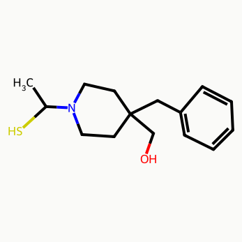 CC(S)N1CCC(CO)(Cc2ccccc2)CC1